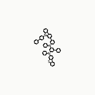 c1ccc(-c2ccc(-n3c4ccccc4c4ccc(-c5cccc(N(c6ccccc6)c6cc(-c7ccccc7)cc(N(c7ccccc7)c7ccc8c(c7)sc7ccccc78)c6)c5)cc43)cc2)cc1